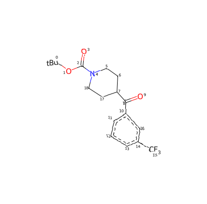 CC(C)(C)OC(=O)N1CCC(C(=O)c2cccc(C(F)(F)F)c2)CC1